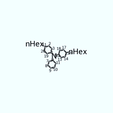 CCCCCCc1ccc(N(c2cc[c]cc2)c2ccc(CCCCCC)cc2)cc1